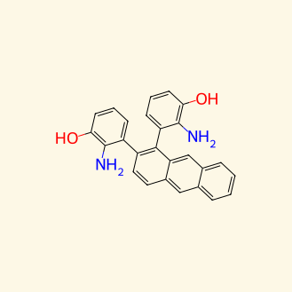 Nc1c(O)cccc1-c1ccc2cc3ccccc3cc2c1-c1cccc(O)c1N